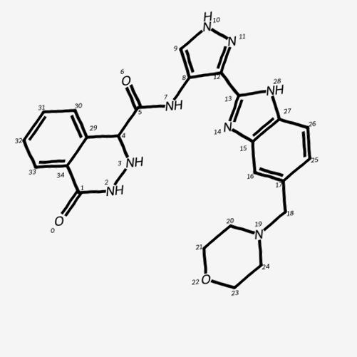 O=C1NNC(C(=O)Nc2c[nH]nc2-c2nc3cc(CN4CCOCC4)ccc3[nH]2)c2ccccc21